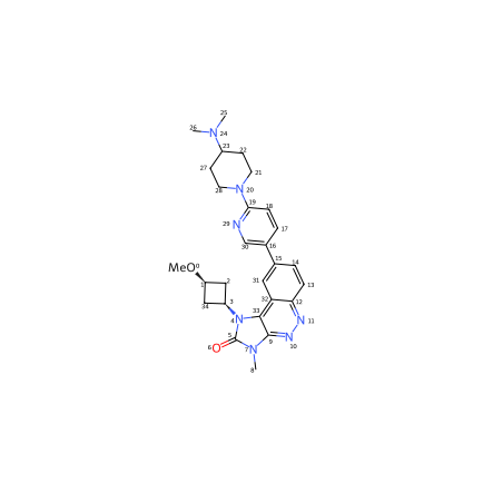 CO[C@H]1C[C@@H](n2c(=O)n(C)c3nnc4ccc(-c5ccc(N6CCC(N(C)C)CC6)nc5)cc4c32)C1